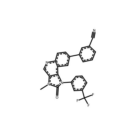 Cn1c(=O)n(-c2cccc(C(F)(F)F)c2)c2c3cc(-c4cccc(C#N)c4)ccc3ncc21